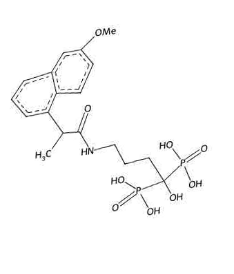 COc1ccc2c(C(C)C(=O)NCCCC(O)(P(=O)(O)O)P(=O)(O)O)cccc2c1